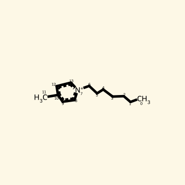 CCCCCCC[n+]1ccc(C)cc1